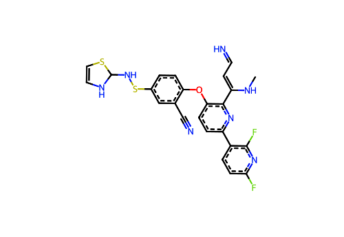 CN/C(=C\C=N)c1nc(-c2ccc(F)nc2F)ccc1Oc1ccc(SNC2NC=CS2)cc1C#N